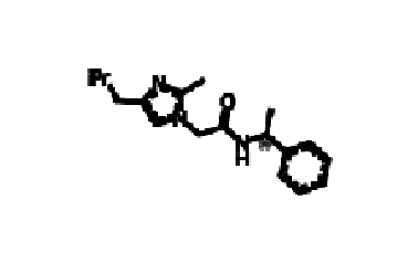 Cc1nc(CC(C)C)cn1CC(=O)N[C@@H](C)c1ccccc1